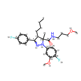 CCCCC1C(c2ccc(F)cc2)=NN(c2ccc(F)c(OC)c2)C1(C)C(=O)NCCCOC